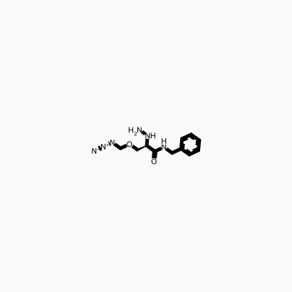 [N-]=[N+]=NCOC[C@@H](NN)C(=O)NCc1ccccc1